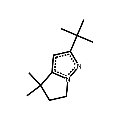 CC(C)(C)c1cc2n(n1)CCC2(C)C